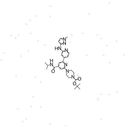 CC(C)NC(=O)c1cc(-c2ccnc(Nc3ccn(C)n3)c2)nc(N2CCN(C(=O)OC(C)(C)C)CC2)c1